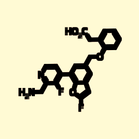 NCc1nccc(-c2cc(COc3ccccc3CC(=O)O)cc3cc(F)oc23)c1F